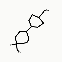 CCCCCC1CCC(C2CCC(F)(CCCC)CC2)CC1